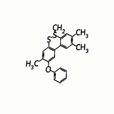 C=S1Sc2cc(C)c(Oc3ccccc3)cc2-c2cc(C)c(C)cc21